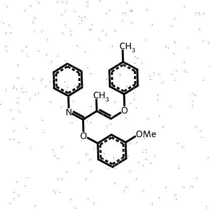 COc1cccc(O/C(=N/c2ccccc2)C(C)=COc2ccc(C)cc2)c1